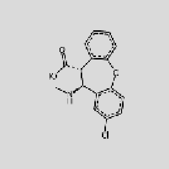 CN[C@@H]1c2cc(Cl)ccc2Oc2ccccc2[C@H]1C(=O)O